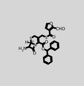 NC1C(=O)N2C(C(=O)OC(c3ccccc3)c3ccccc3)=C(CSC(=O)c3ccoc3C=O)CS[C@@H]12